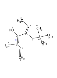 C=C/C(C)=C(O)\C(=C/C)CC(C)(C)C